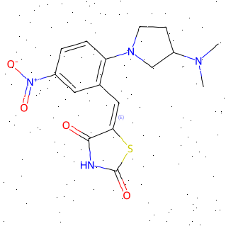 CN(C)C1CCN(c2ccc([N+](=O)[O-])cc2/C=C2/SC(=O)NC2=O)C1